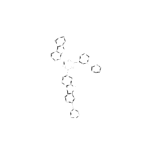 c1ccc(-c2cccc(C3NC(c4cccc5c4oc4ccccc45)=NC(c4ccc5c(c4)oc4cc(-c6ccccc6)ccc45)N3)c2)cc1